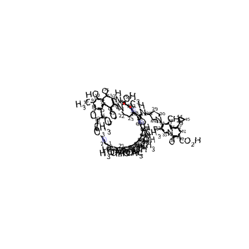 CO[C@H]1/C=C/O[C@@]2(C)Oc3c(C)c(O)c4c(c3C2=O)C(=O)C(N2CCC(C(=O)NC3CCN(c5c(F)cn6c(=O)c(C(=O)O)cc(C7CC7)c6c5C)C3)CC2)=C(NC(=O)/C(C)=C\C=C\[C@H](C)[C@H](O)[C@@H](C)[C@@H](O)[C@@H](C)[C@H](OC(C)=O)[C@@H]1C)C4=O